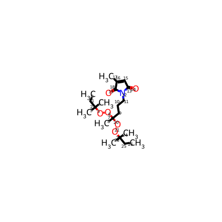 CCC(C)(C)OOC(C)(CCCN1C(=O)C=C(C)C1=O)OOC(C)(C)CC